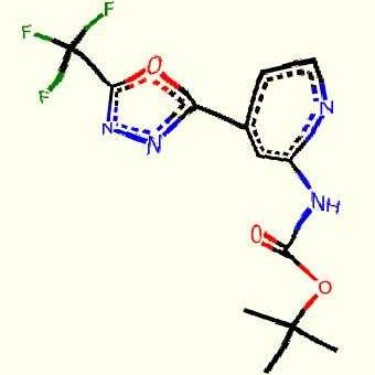 CC(C)(C)OC(=O)Nc1cc(-c2nnc(C(F)(F)F)o2)ccn1